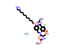 CC(C)(C)OC(=O)N[C@H]1CS(=O)(=O)c2cc(F)c(-c3nnc(C(C)(C)C)o3)cc2N(Cc2ccc(OCCCCCCCCCCCN)cc2)C1=O.Cl